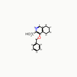 O=C(O)c1ncc2c(c1OCc1ccccc1)CCCC2